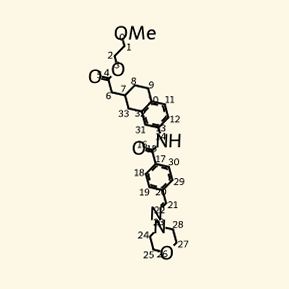 COCCOC(=O)CC1CCc2ccc(NC(=O)c3ccc(C=NN4CCOCC4)cc3)cc2C1